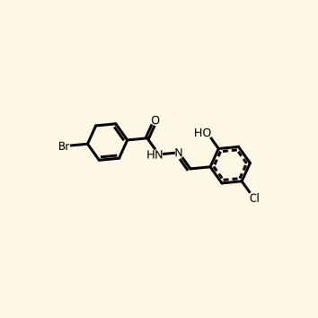 O=C(N/N=C/c1cc(Cl)ccc1O)C1=CCC(Br)C=C1